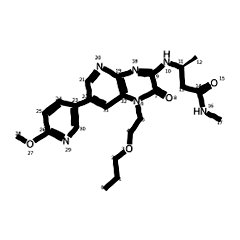 CCCOCCn1c(=O)c(N[C@@H](C)CC(=O)NC)nc2ncc(-c3ccc(OC)nc3)cc21